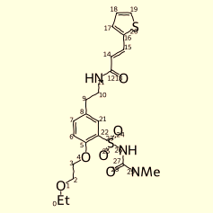 CCOCCOc1ccc(CCNC(=O)/C=C/c2cccs2)cc1S(=O)(=O)NC(=O)NC